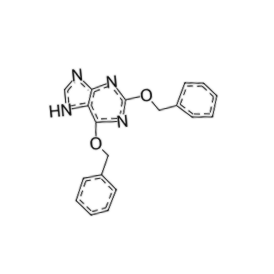 c1ccc(COc2nc(OCc3ccccc3)c3[nH]cnc3n2)cc1